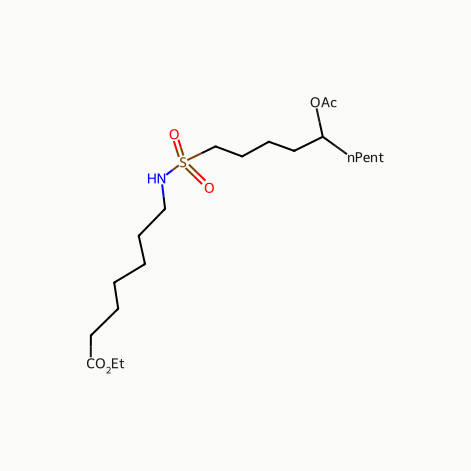 CCCCCC(CCCCS(=O)(=O)NCCCCCCC(=O)OCC)OC(C)=O